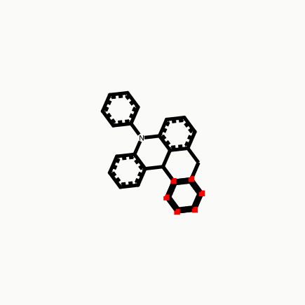 c1ccc(N2c3ccccc3C34c5ccccc5C(c5ccccc53)c3cccc2c34)cc1